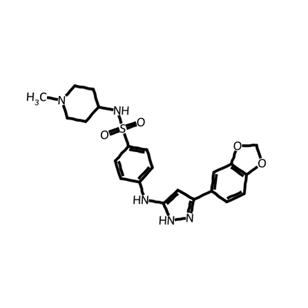 CN1CCC(NS(=O)(=O)c2ccc(Nc3cc(-c4ccc5c(c4)OCO5)n[nH]3)cc2)CC1